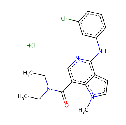 CCN(CC)C(=O)c1cnc(Nc2cccc(Cl)c2)c2ccn(C)c12.Cl